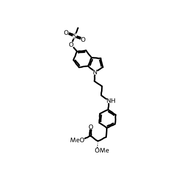 COC(=O)[C@H](Cc1ccc(NCCCn2ccc3cc(OS(C)(=O)=O)ccc32)cc1)OC